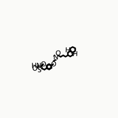 CN(CCOc1ccc(CC2SC(=O)NC2=O)cc1)C(=O)CCCC1CC[C@@H]2CCCC[C@H]2C1